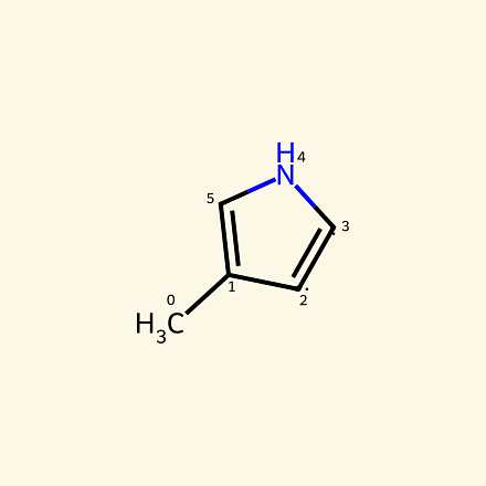 Cc1[c][c][nH]c1